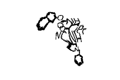 CC(C)CC(NC(=O)Oc1ccc2ccccc2c1)C(=O)NC1(C#N)CCN(Cc2ccccc2)C1